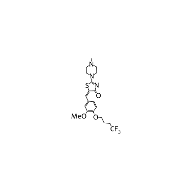 COc1cc(C=C2SC(N3CCN(C)CC3)=NC2=O)ccc1OCCCC(F)(F)F